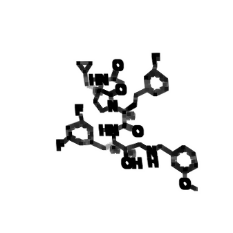 COc1cccc(CNC[C@@H](O)[C@H](Cc2cc(F)cc(F)c2)NC(=O)[C@H](CCc2cccc(F)c2)N2CC[C@@](CC3CC3)(NC(C)=O)C2=O)c1